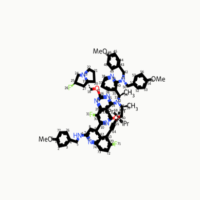 COc1ccc(CNc2cc(-c3nc4c5c(nc(OC[C@@]67CCCN6C[C@H](F)C7)nc5c3F)N([C@H](C)c3cccnc3N(Cc3ccc(OC)cc3)Cc3ccc(OC)cc3)[C@@H](C)CO4)c3c(C#C[Si](C(C)C)(C(C)C)C(C)C)c(F)ccc3n2)cc1